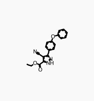 CCOC(=O)c1[nH]nc(-c2ccc(Oc3ccccc3)cc2)c1C#N